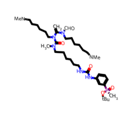 C=C(N(C=O)CCCCCCNC)N(CCCCCCNC)C(=O)N(C)CCCCCCNC(=O)Nc1cccc(P(C)(=O)OC(C)(C)C)c1